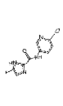 O=C(Nc1ccc(Cl)nc1)c1ncc(F)[nH]1